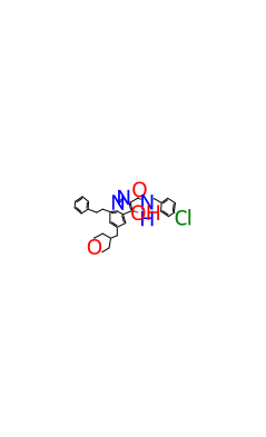 O=C(NCc1ccc(Cl)cc1)c1nnc2c(CCc3ccccc3)cc(CC3CCOCC3)cc2c1O